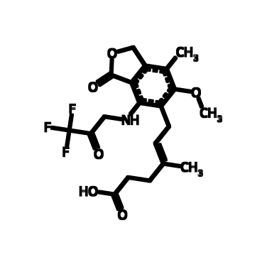 COc1c(C)c2c(c(NCC(=O)C(F)(F)F)c1C/C=C(\C)CCC(=O)O)C(=O)OC2